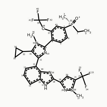 CC[P@](C)(=O)c1ccc(-c2nc(-c3cccc4[nH]c(-c5cc(C(F)(F)F)n(C)n5)nc34)c(C3CC3)n2C)c(OC(F)(F)F)c1